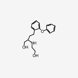 OCCNC(CO)CCc1ccccc1Oc1ccccc1